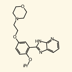 CC(C)Oc1ccc(OCCN2CCOCC2)cc1-c1nc2cccnc2[nH]1